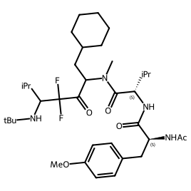 COc1ccc(C[C@H](NC(C)=O)C(=O)N[C@H](C(=O)N(C)C(CC2CCCCC2)C(=O)C(F)(F)C(NC(C)(C)C)C(C)C)C(C)C)cc1